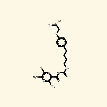 CC(=O)[C@@H](N)COc1ccc(CCCCNC(=N)NC(=O)c2nc(Cl)c(N)nc2N)cc1